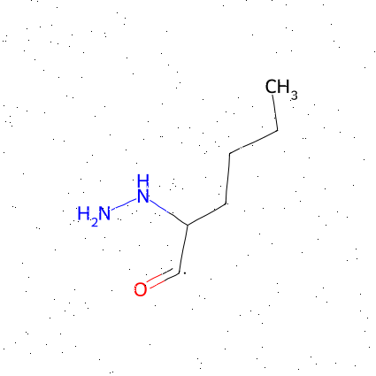 CCCCC([C]=O)NN